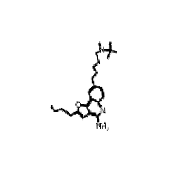 CCCCc1cc2c(N)nc3ccc(CCCCCN(C)C(C)(C)C)cc3c2o1